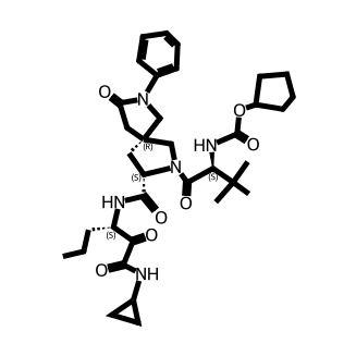 CCC[C@H](NC(=O)[C@@H]1C[C@@]2(CC(=O)N(c3ccccc3)C2)CN1C(=O)[C@@H](NC(=O)OC1CCCC1)C(C)(C)C)C(=O)C(=O)NC1CC1